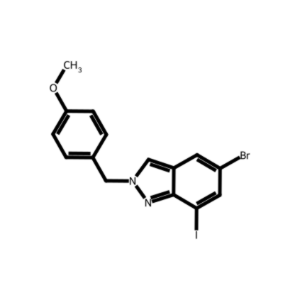 COc1ccc(Cn2cc3cc(Br)cc(I)c3n2)cc1